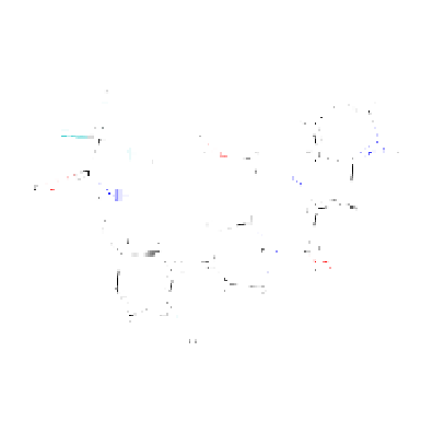 COCCn1c(C(=O)N2CCC(c3cc(CNC(=O)C(F)(F)F)ccc3F)CC2)cc2ncccc21